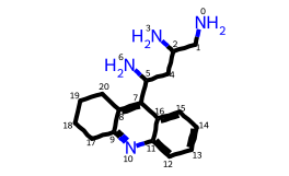 NCC(N)CC(N)c1c2c(nc3ccccc13)CCCC2